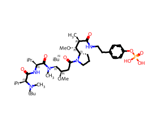 CC[C@H](C)[C@@H]([C@@H](CC(=O)N1CCC[C@H]1[C@H](OC)[C@@H](C)C(=O)NCCc1ccc(OP(=O)(O)O)cc1)OC)N(C)C(=O)[C@@H](NC(=O)[C@H](C(C)C)N(C)C(C)(C)C)C(C)C